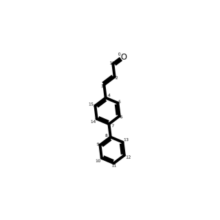 O=[C]C=Cc1ccc(-c2ccccc2)cc1